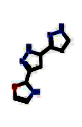 [C]1CNN=C1C1CC(C2NC=CO2)=NN1